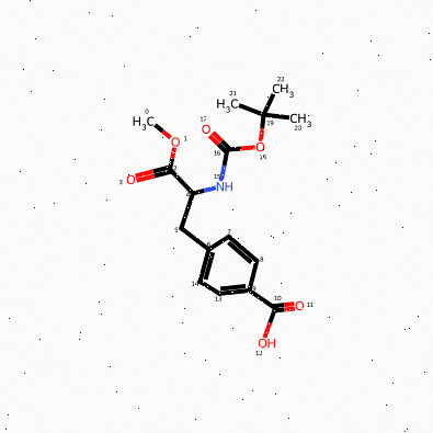 COC(=O)C(Cc1ccc(C(=O)O)cc1)NC(=O)OC(C)(C)C